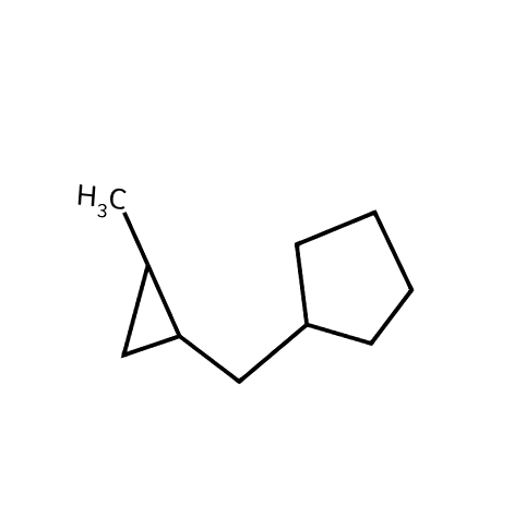 CC1CC1CC1CCCC1